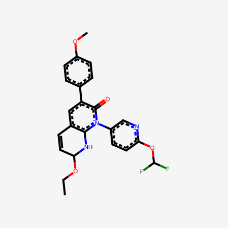 CCOC1C=Cc2cc(-c3ccc(OC)cc3)c(=O)n(-c3ccc(OC(F)F)nc3)c2N1